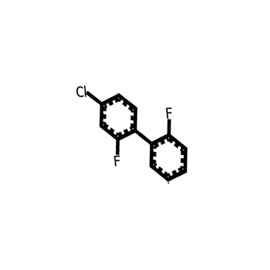 Fc1cc[c]cc1-c1ccc(Cl)cc1F